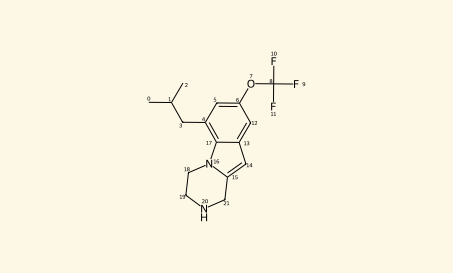 CC(C)Cc1cc(OC(F)(F)F)cc2cc3n(c12)CCNC3